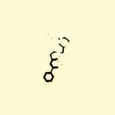 N#CN1CCOC(C(=O)N2CCc3cc(-c4ccccc4)cnc32)C1